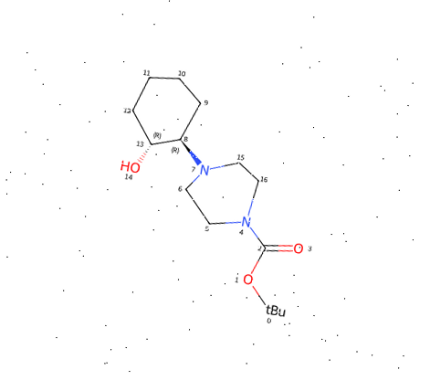 CC(C)(C)OC(=O)N1CCN([C@@H]2CCCC[C@H]2O)CC1